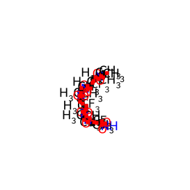 Cc1cc(C)c(N2C(=O)c3ccc(C(C)(c4ccc5c(c4)C(=O)N(c4c(C)cc(C)c(N6C(=O)c7ccc(C(C)(c8ccc9c(c8)C(=O)N(c8c(C)cc(C)c(N%10C(=O)c%11ccc(C(C)(c%12ccc%13c(c%12)C(=O)NC%13=O)C(F)(F)F)cc%11C%10=O)c8C)C9=O)C(F)(F)F)cc7C6=O)c4C)C5=O)C(F)(F)F)cc3C2=O)c(C)c1C